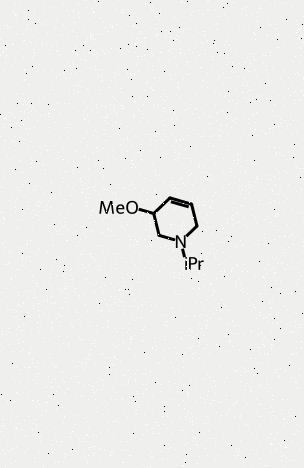 COC1C=CCN(C(C)C)C1